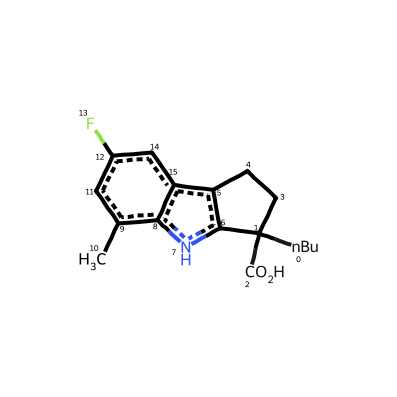 CCCCC1(C(=O)O)CCc2c1[nH]c1c(C)cc(F)cc21